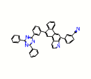 N#Cc1cccc(-c2cc3c4ccccc4c(-c4cccc(-c5nc(-c6ccccc6)nc(-c6ccccc6)n5)c4)cc3c3cccnc23)c1